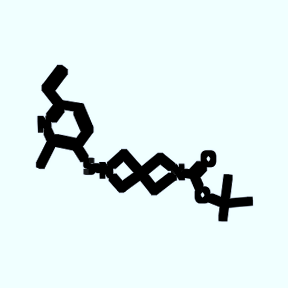 C=Cc1ccc(SN2CC3(C2)CN(C(=O)OC(C)(C)C)C3)c(C)n1